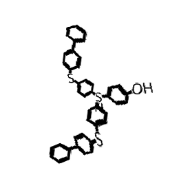 Oc1ccc([SH](c2ccc(Sc3ccc(-c4ccccc4)cc3)cc2)c2ccc(Sc3ccc(-c4ccccc4)cc3)cc2)cc1